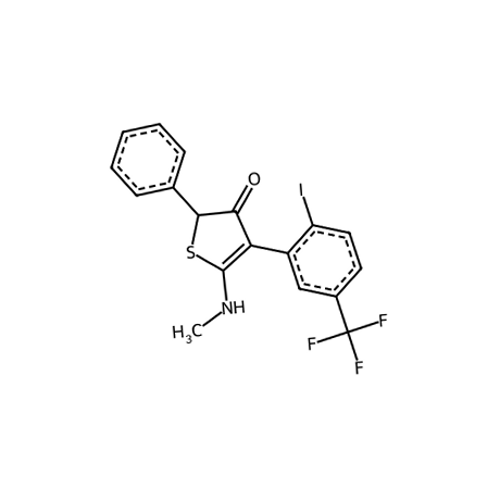 CNC1=C(c2cc(C(F)(F)F)ccc2I)C(=O)C(c2ccccc2)S1